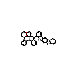 C1=Cc2oc3cc4oc5c(-c6c7ccccc7c(-c7ccccc7-c7ccccc7)c7ccccc67)cccc5c4cc3c2CC1